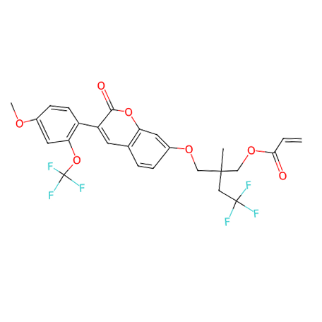 C=CC(=O)OCC(C)(COc1ccc2cc(-c3ccc(OC)cc3OC(F)(F)F)c(=O)oc2c1)CC(F)(F)F